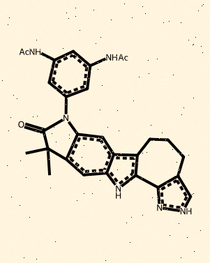 CC(=O)Nc1cc(NC(C)=O)cc(N2C(=O)C(C)(C)c3cc4[nH]c5c(c4cc32)CCCc2c[nH]nc2-5)c1